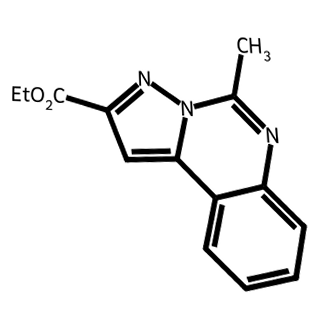 CCOC(=O)c1cc2c3ccccc3nc(C)n2n1